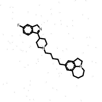 Fc1ccc2c(c1)CN=C2C1CCN(CCCCCc2cc3c4c(c2)CCN4CCCC3)CC1